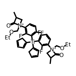 CCOC[N+]1(c2ccc(F)[c]([Ti]([C]3=CC=CC3)([C]3=CC=CC3)[c]3c(F)ccc([N+]4(COCC)CC(C)C4=O)c3F)c2F)CC(C)C1=O